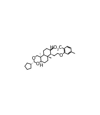 C=C1CCC2[C@]3(C)CO[C@@H](C4CCCC4)O[C@@H]3CC[C@@]2(C)[C@@H]1CCOc1cc(C)ccc1C(=O)O